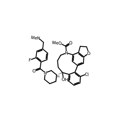 CNCc1ccc(C(=O)N2CCC[C@@H](C3(O)CCCN(C(=O)OC)c4cc(cc5c4CCO5)-c4c(Cl)cccc43)C2)c(F)c1